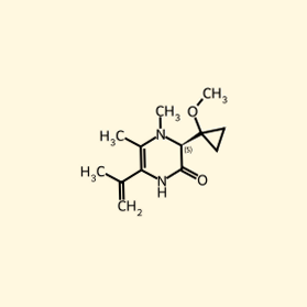 C=C(C)C1=C(C)N(C)[C@@H](C2(OC)CC2)C(=O)N1